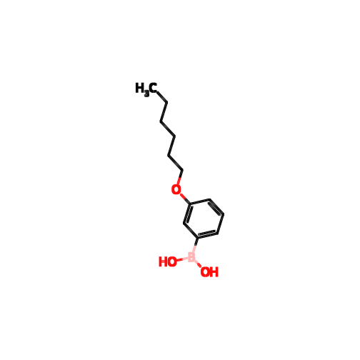 CCCCCCOc1cccc(B(O)O)c1